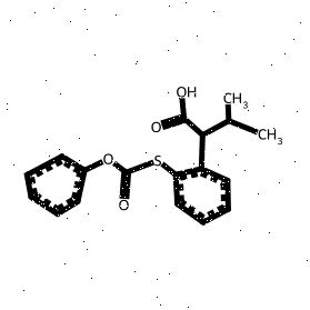 CC(C)C(C(=O)O)c1ccccc1SC(=O)Oc1ccccc1